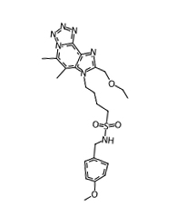 CCOCc1nc2c(c(C)c(C)n3nnnc23)n1CCCCS(=O)(=O)NCc1ccc(OC)cc1